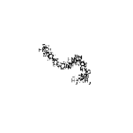 CC(C)(C)c1noc(C(=O)NCc2ccc(-c3ncnc4[nH]c(-c5cnn(C6CCN(CC7CCN(c8ccc(N9CCC(=O)NC9=O)cc8)CC7)CC6)c5)cc34)cc2F)n1